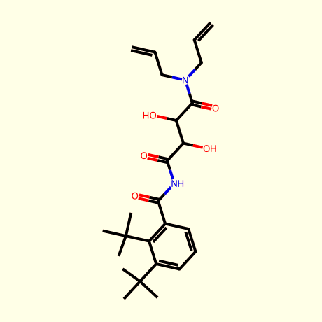 C=CCN(CC=C)C(=O)C(O)C(O)C(=O)NC(=O)c1cccc(C(C)(C)C)c1C(C)(C)C